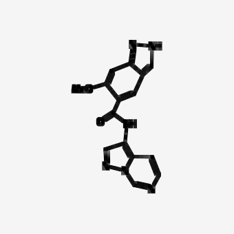 COc1cc2n[nH]cc2cc1C(=O)Nc1cnn2cnccc12